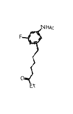 CCC(=O)CCCCCc1cc(F)cc(NC(C)=O)c1